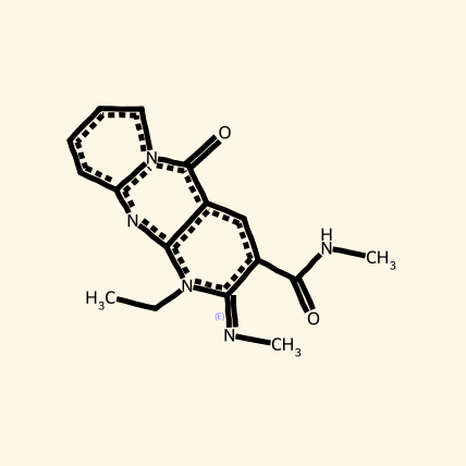 CCn1/c(=N/C)c(C(=O)NC)cc2c(=O)n3ccccc3nc21